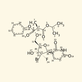 CC(C)OC(=O)[C@H](C)P(=O)(OC[C@H]1O[C@@H](n2ccc(=O)[nH]c2=O)[C@@](F)(Br)[C@@H]1O)Oc1ccccc1